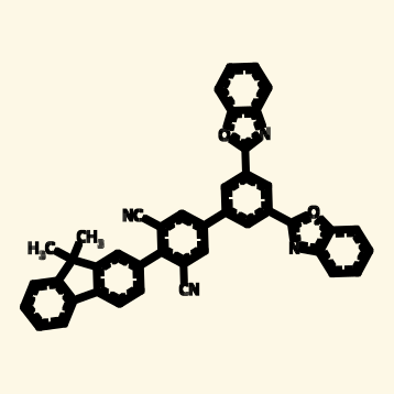 CC1(C)c2ccccc2-c2ccc(-c3c(C#N)cc(-c4cc(-c5nc6ccccc6o5)cc(-c5nc6ccccc6o5)c4)cc3C#N)cc21